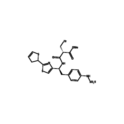 COC(=O)[C@@H](CC(C)C)C(=O)N[C@@H](Cc1ccc(NS(=O)(=O)O)cc1)c1csc(C2CC=CS2)n1